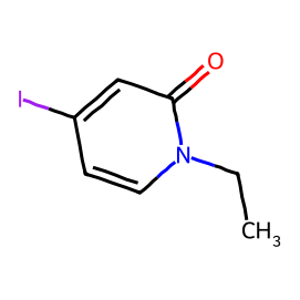 CCn1ccc(I)cc1=O